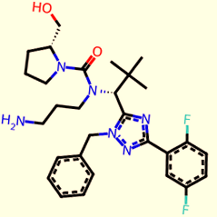 CC(C)(C)[C@H](c1nc(-c2cc(F)ccc2F)nn1Cc1ccccc1)N(CCCN)C(=O)N1CCC[C@@H]1CO